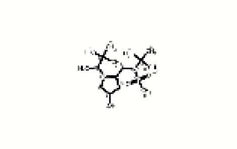 CC(N1CC(O)CC1CN(C(C)(C)C)S(C)(=O)=O)C(C)(C)C